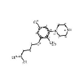 CCN(CC)CCCOc1cc(Cl)cc(N2CCNCC2)c1C